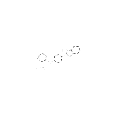 O=[N+]([O-])c1ncccc1Nc1ccc(-c2cc3ccccc3[nH]2)cc1